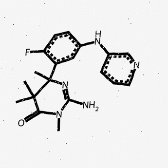 CN1C(=O)C(C)(C)C(C)(c2cc(Nc3cccnc3)ccc2F)N=C1N